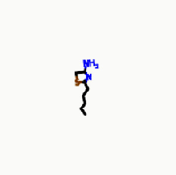 CCCCCC1=NC(N)CS1